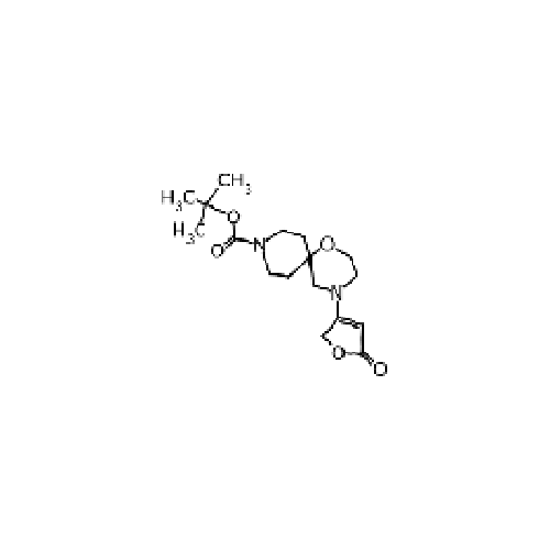 CC(C)(C)OC(=O)N1CCC2(CC1)CN(C1=CC(=O)OC1)CCO2